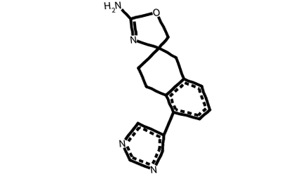 NC1=NC2(CCc3c(cccc3-c3cncnc3)C2)CO1